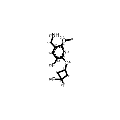 COc1nc(OC2CC(F)(F)C2)c(F)cc1CN